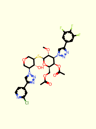 CO[C@@H]1[C@@H](n2cc(-c3cc(F)c(F)c(F)c3)nn2)[C@@H](OC(C)=O)[C@@H](COC(C)=O)O[C@H]1S[C@@H]1COC[C@H](n2cc(-c3ccnc(Cl)c3)nn2)[C@H]1O